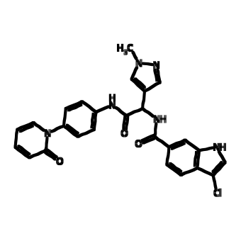 Cn1cc(C(NC(=O)c2ccc3c(Cl)c[nH]c3c2)C(=O)Nc2ccc(-n3ccccc3=O)cc2)cn1